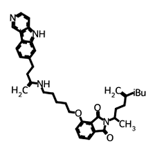 C=C(CCc1ccc2c(c1)[nH]c1ccncc12)NCCCCCOc1cccc2c1C(=O)N(C(C)CCC(=C)C(C)CC)C2=O